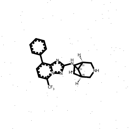 FC(F)(F)c1ccc(-c2ccccc2)c2nc(N[C@@H]3[C@@H]4CC[C@H]3CNC4)nn12